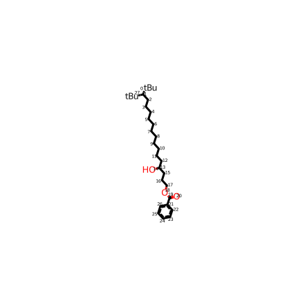 CC(C)(C)C(CCCCCCCCCCCC(O)CCCOC(=O)c1ccccc1)C(C)(C)C